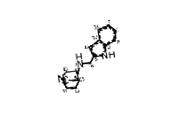 c1ccc2[nH]c(CNC3CN4CCC3CC4)cc2c1